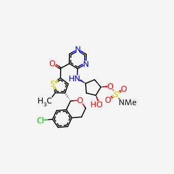 CNS(=O)(=O)O[C@@H]1C[C@H](Nc2ncncc2C(=O)c2cc([C@@H]3OCCc4ccc(Cl)cc43)c(C)s2)C[C@@H]1O